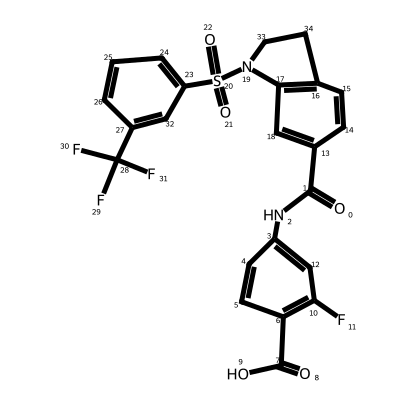 O=C(Nc1ccc(C(=O)O)c(F)c1)c1ccc2c(c1)N(S(=O)(=O)c1cccc(C(F)(F)F)c1)CC2